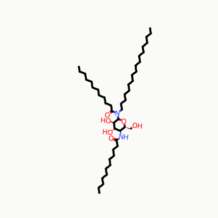 CCCCCCCCCCCCCCCCCCN(C(=O)CCCCCCCCCCC)C1O[C@H](CO)[C@@H](NC(=O)CCCCCCCCCCC)[C@H](O)[C@H]1O